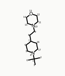 CC(C)(C)N1CCC(CCN2CCOCC2)CC1